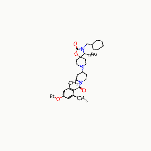 CCCCC1N(CC2CCCCC2)C(=O)OC12CCN(C1CCN(C(=O)c3c(C)cc(OCC)cc3C)CC1)CC2